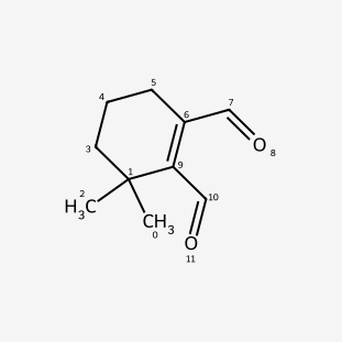 CC1(C)CCCC(C=O)=C1C=O